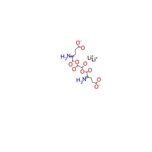 N[C@@H](CCC(=O)[O-])C(=O)OC(=O)C(=O)OC(=O)[C@@H](N)CCC(=O)[O-].[Li+].[Li+]